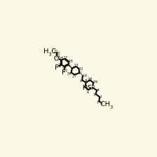 CCCCC[SiH]1CCC(CC[C@H]2CC[C@H](c3ccc(OCC)c(F)c3F)CC2)CC1